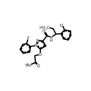 CC(C)(C)C(=O)COc1cc(C(=O)NC(CC(=O)O)c2ccccc2Cl)nn1-c1ccccc1F